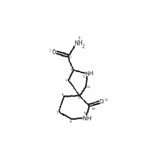 NC(=O)C1CC2(CCCNC2=O)CN1